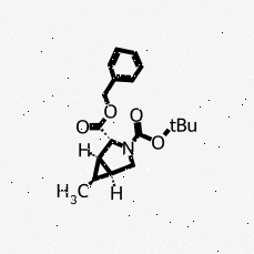 C[C@@H]1[C@@H]2CN(C(=O)OC(C)(C)C)[C@@H](C(=O)OCc3ccccc3)[C@H]12